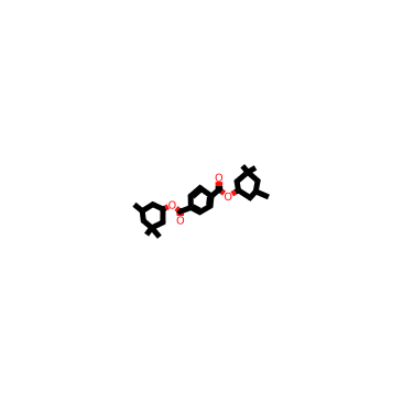 CC1CC(OC(=O)c2ccc(C(=O)OC3CC(C)CC(C)(C)C3)cc2)CC(C)(C)C1